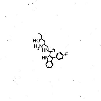 CCC(O)C[C@H](N)CNC(=O)c1[nH]c2ccccc2c1-c1ccc(F)cc1